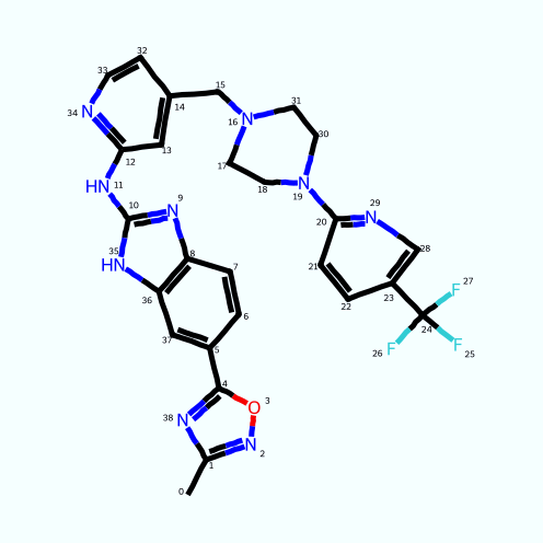 Cc1noc(-c2ccc3nc(Nc4cc(CN5CCN(c6ccc(C(F)(F)F)cn6)CC5)ccn4)[nH]c3c2)n1